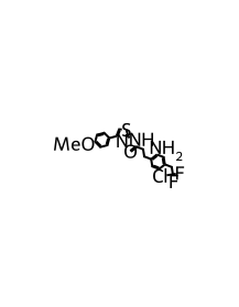 COc1ccc(-c2csc(NC(=O)CCc3ccc(CC(F)(F)Cl)cc3N)n2)cc1